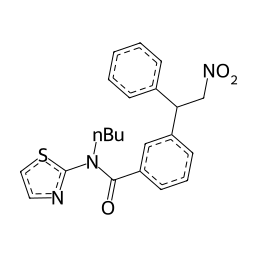 CCCCN(C(=O)c1cccc(C(C[N+](=O)[O-])c2ccccc2)c1)c1nccs1